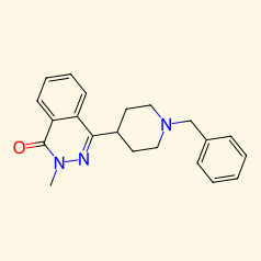 Cn1nc(C2CCN(Cc3ccccc3)CC2)c2ccccc2c1=O